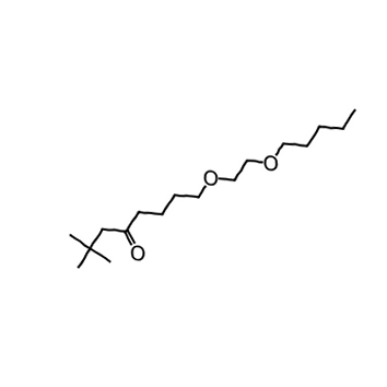 CCCCCOCCOCCCCC(=O)CC(C)(C)C